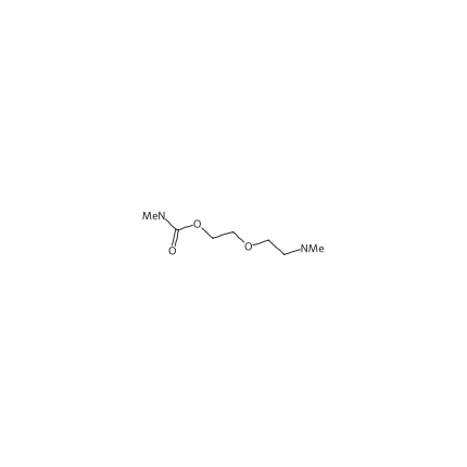 CNCCOCCOC(=O)NC